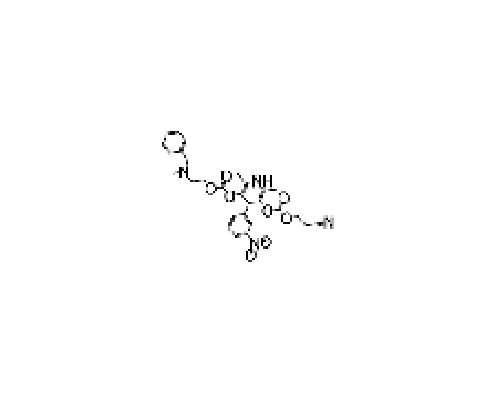 CC1=C(OC(=O)OCCC#N)C(c2cccc([N+](=O)[O-])c2)C(OC(=O)OCCN(C)Cc2ccccc2)=C(C)N1